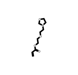 C=CC(=O)OCCOCCN1CCOC1